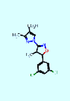 Cc1nn(C2=NOC(c3cc(Cl)cc(Cl)c3)C2C(F)(F)F)cc1C(=O)O